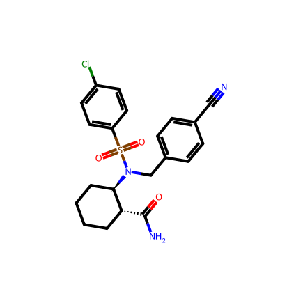 N#Cc1ccc(CN([C@@H]2CCCC[C@H]2C(N)=O)S(=O)(=O)c2ccc(Cl)cc2)cc1